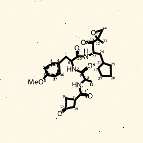 COc1ccc(CC(NC(=O)C(C)NC(=O)C2CC(=O)C2)C(=O)NC(CC2CCCC2)C(=O)C2(C)CO2)cc1